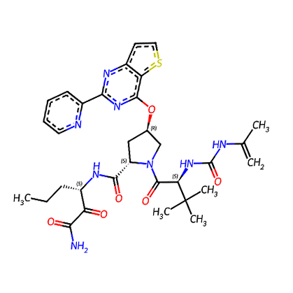 C=C(C)NC(=O)N[C@H](C(=O)N1C[C@H](Oc2nc(-c3ccccn3)nc3ccsc23)C[C@H]1C(=O)N[C@@H](CCC)C(=O)C(N)=O)C(C)(C)C